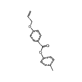 C=CCOc1ccc(C(=O)Oc2ccc(C)cc2)cc1